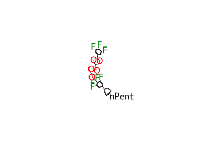 CCCCCc1ccc(-c2cc(F)c(C(F)(F)OC3COC(C4COC(c5cc(F)c(F)c(F)c5)OC4)OC3)c(F)c2)cc1